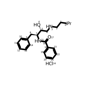 CC(C)CCNC[C@@H](O)[C@H](Cc1ccccc1)NC(=O)c1ccccc1.Cl